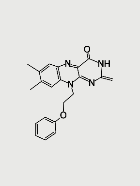 C=c1nc2c(c(=O)[nH]1)=Nc1cc(C)c(C)cc1N2CCOc1ccccc1